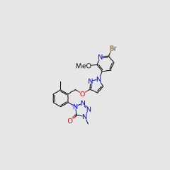 COc1nc(Br)ccc1-n1ccc(OCc2c(C)cccc2-n2nnn(C)c2=O)n1